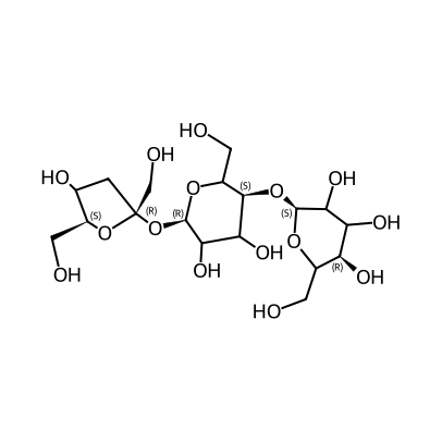 OCC1O[C@@H](O[C@@H]2C(CO)O[C@H](O[C@@]3(CO)CC(O)[C@H](CO)O3)C(O)C2O)C(O)C(O)[C@H]1O